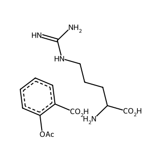 CC(=O)Oc1ccccc1C(=O)O.N=C(N)NCCCC(N)C(=O)O